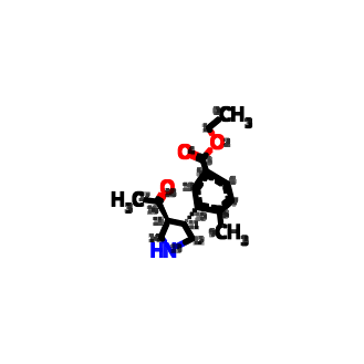 CCOC(=O)c1ccc(C)c([C@@H]2CNC[C@H]2C(C)=O)c1